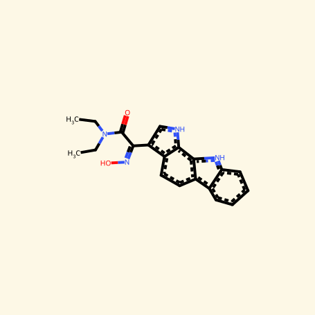 CCN(CC)C(=O)C(=NO)c1c[nH]c2c1ccc1c3ccccc3[nH]c12